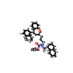 Cc1ccc(C2C[C@@H](CCCN(C(=O)OC(C)(C)C)[C@H](C)c3cccc4ccccc34)Oc3ccccc32)c(C)c1C(=O)O